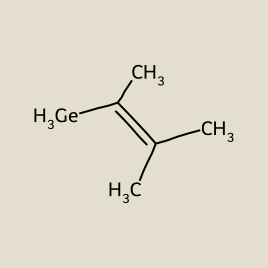 CC(C)=[C](C)[GeH3]